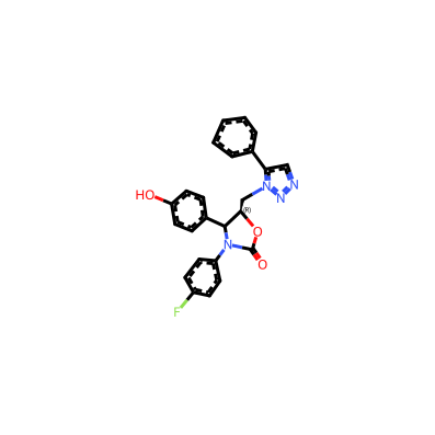 O=C1O[C@H](Cn2nncc2-c2ccccc2)C(c2ccc(O)cc2)N1c1ccc(F)cc1